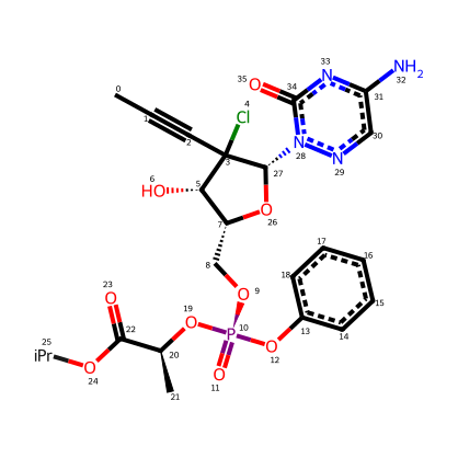 CC#CC1(Cl)[C@@H](O)[C@@H](CO[P@](=O)(Oc2ccccc2)O[C@@H](C)C(=O)OC(C)C)O[C@H]1n1ncc(N)nc1=O